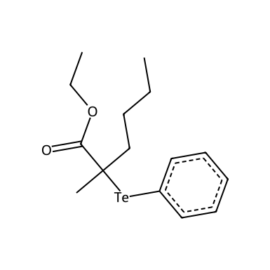 CCCCC(C)([Te]c1ccccc1)C(=O)OCC